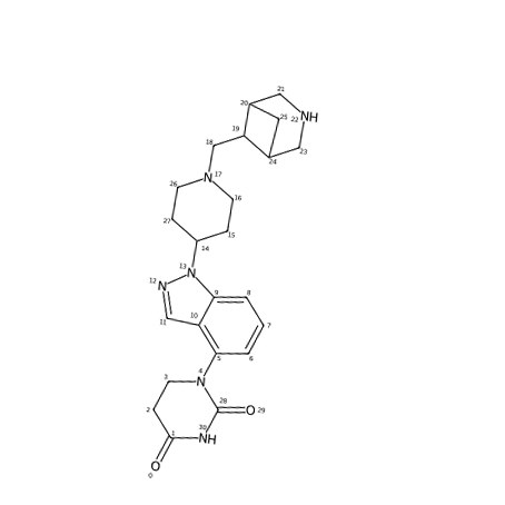 O=C1CCN(c2cccc3c2cnn3C2CCN(CC3C4CNCC3C4)CC2)C(=O)N1